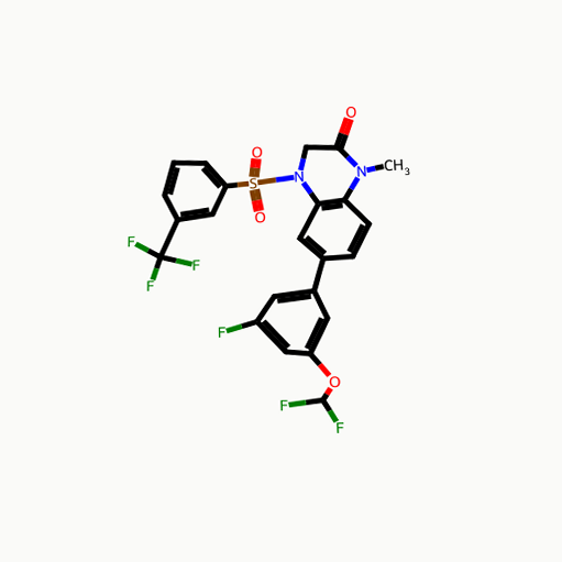 CN1C(=O)CN(S(=O)(=O)c2cccc(C(F)(F)F)c2)c2cc(-c3cc(F)cc(OC(F)F)c3)ccc21